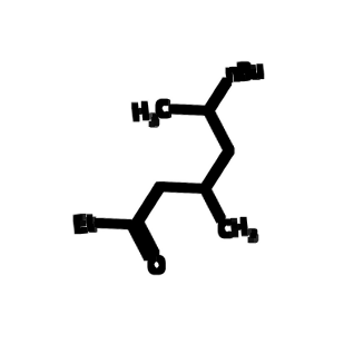 CCCCC(C)CC(C)CC(=O)CC